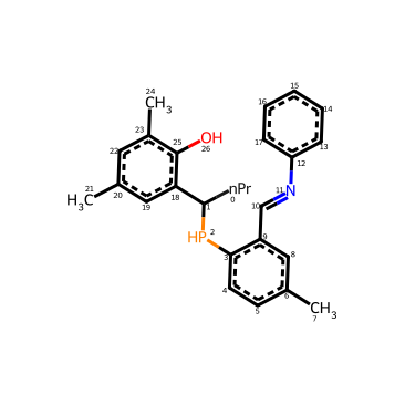 CCCC(Pc1ccc(C)cc1/C=N/c1ccccc1)c1cc(C)cc(C)c1O